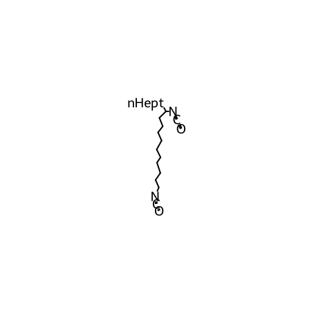 CCCCCCCC(CCCCCCCCCCN=C=O)N=C=O